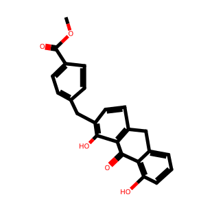 COC(=O)c1ccc(Cc2ccc3c(c2O)C(=O)c2c(O)cccc2C3)cc1